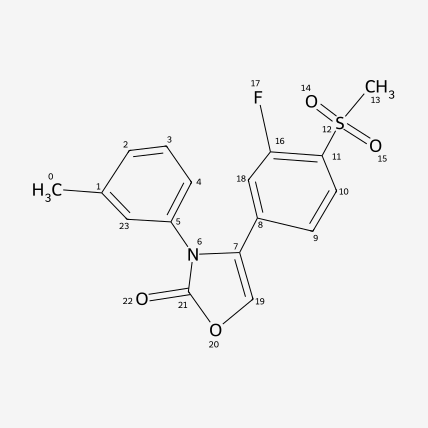 Cc1cccc(-n2c(-c3ccc(S(C)(=O)=O)c(F)c3)coc2=O)c1